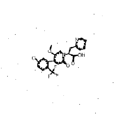 COc1cn(C(Cc2ccccn2)C(=O)O)c(=O)cc1-c1cc(Cl)ccc1C(F)(F)F